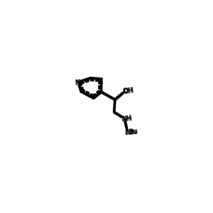 CCCCNCC(O)c1ccncc1